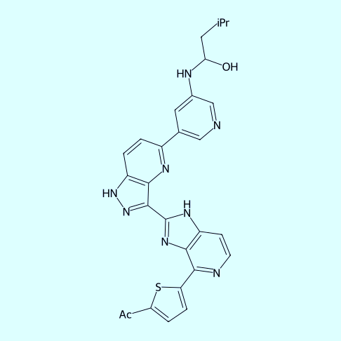 CC(=O)c1ccc(-c2nccc3[nH]c(-c4n[nH]c5ccc(-c6cncc(NC(O)CC(C)C)c6)nc45)nc23)s1